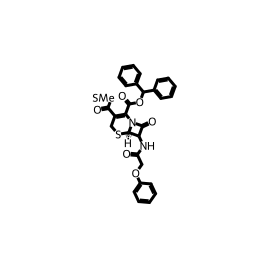 CSC(=O)C1=C(C(=O)OC(c2ccccc2)c2ccccc2)N2C(=O)C(NC(=O)COc3ccccc3)[C@H]2SC1